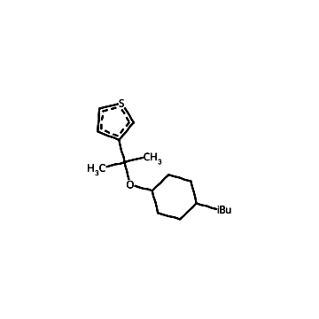 CCC(C)C1CCC(OC(C)(C)c2ccsc2)CC1